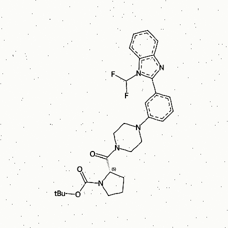 CC(C)(C)OC(=O)N1CCC[C@H]1C(=O)N1CCN(c2cccc(-c3nc4ccccc4n3C(F)F)c2)CC1